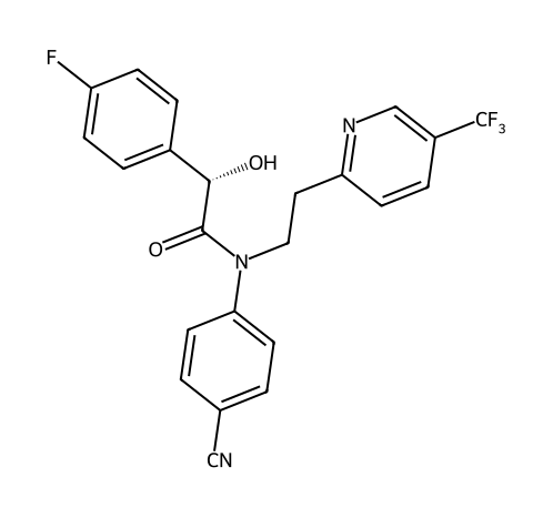 N#Cc1ccc(N(CCc2ccc(C(F)(F)F)cn2)C(=O)[C@@H](O)c2ccc(F)cc2)cc1